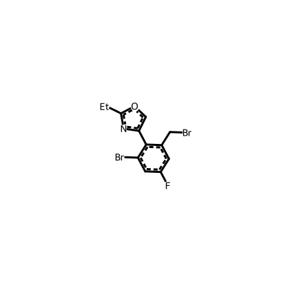 [CH2]Cc1nc(-c2c(Br)cc(F)cc2CBr)co1